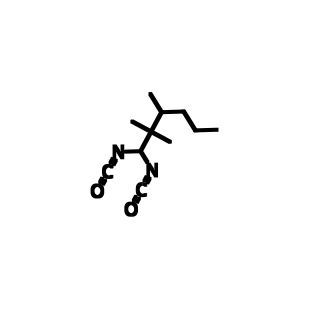 CCCC(C)C(C)(C)C(N=C=O)N=C=O